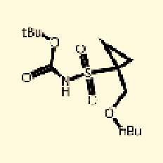 CCCCOCC1(S(=O)(=O)NC(=O)OC(C)(C)C)CC1